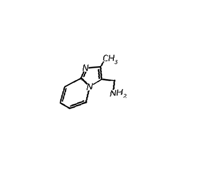 Cc1nc2ccccn2c1CN